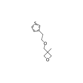 CC1(COCCc2ccsc2)COC1